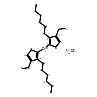 CCCCCCC1=[C]([Zr+2][C]2=C(CCCCCC)C(CC)=CC2)CC=C1CC.[Cl-].[Cl-]